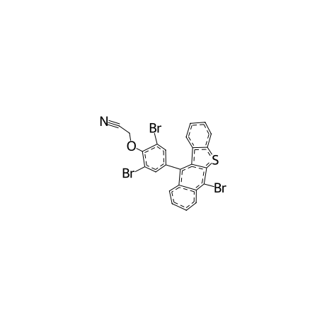 N#CCOc1c(Br)cc(-c2c3ccccc3c(Br)c3sc4ccccc4c23)cc1Br